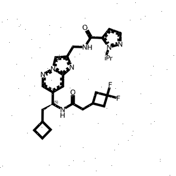 CC(C)n1nccc1C(=O)NCc1cn2ncc([C@H](CC3CCC3)NC(=O)CC3CC(F)(F)C3)cc2n1